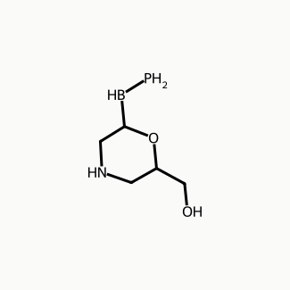 OCC1CNCC(BP)O1